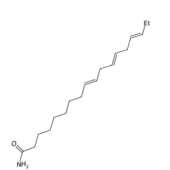 CCC=CCC=CCC=CCCCCCCCC(N)=O